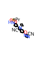 CCCS(=O)(=O)Nc1ccc(-c2c(C#N)c3ccc(Oc4nccnc4C#N)cc3n2C2CCC2)cc1